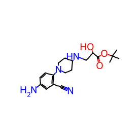 CC(C)(C)OC(=O)C(O)CNC1CCN(c2ccc(N)cc2C#N)CC1